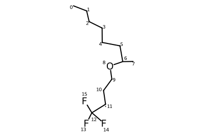 CCCCCCC(C)OCC[CH]C(F)(F)F